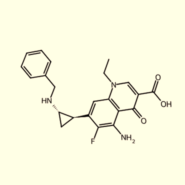 CCn1cc(C(=O)O)c(=O)c2c(N)c(F)c([C@H]3C[C@@H]3NCc3ccccc3)cc21